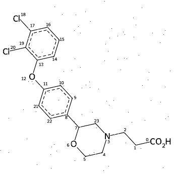 O=C(O)CCN1CCOC(c2ccc(Oc3cccc(Cl)c3Cl)cc2)C1